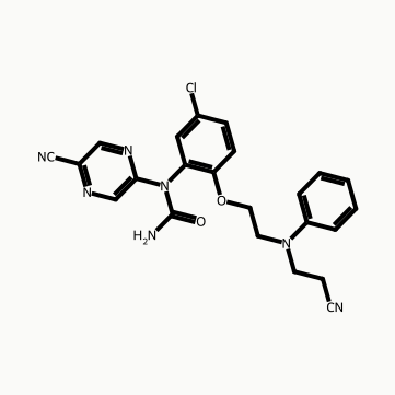 N#CCCN(CCOc1ccc(Cl)cc1N(C(N)=O)c1cnc(C#N)cn1)c1ccccc1